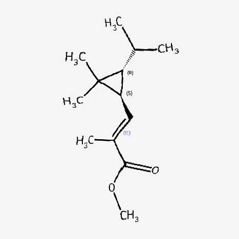 COC(=O)/C(C)=C/[C@@H]1[C@@H](C(C)C)C1(C)C